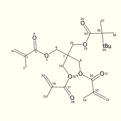 C=C(C)C(=O)OCC(COC(=O)C(=C)C)(COC(=O)C(=C)C)COC(=O)C(C)(C)C(C)(C)C